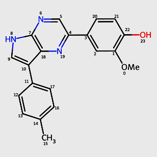 COc1cc(-c2cnc3[nH]cc(-c4ccc(C)cc4)c3n2)ccc1O